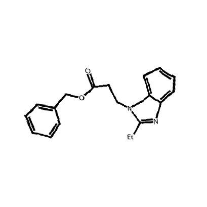 CCc1nc2ccccc2n1CCC(=O)OCc1ccccc1